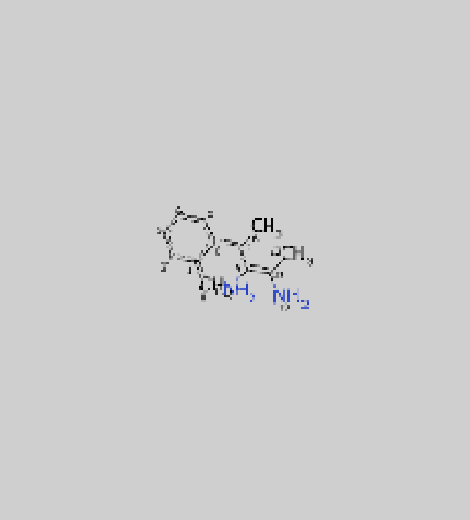 C=c1cccc/c1=C(C)/C(N)=C(\C)N